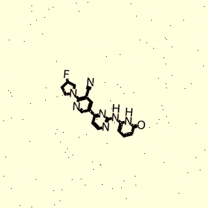 N#Cc1cc(-c2ccnc(Nc3cccc(=O)[nH]3)n2)cnc1N1CCC(F)C1